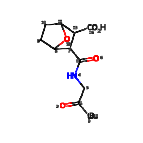 CC(C)(C)C(=O)CNC(=O)C1C2CCC(O2)C1C(=O)O